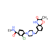 CCNC(=O)c1ccc(N2CCN(Cc3ccc4c(c3)NC(=O)C(C)O4)CC2)c(Cl)c1